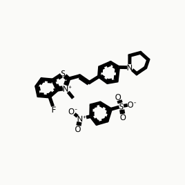 C[n+]1c(C=Cc2ccc(N3CCCCC3)cc2)sc2cccc(F)c21.O=[N+]([O-])c1ccc(S(=O)(=O)[O-])cc1